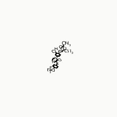 CCC(=O)OC(C)(C)COc1ccc(-n2ccnc(Sc3ccc(OC(F)(F)F)cc3)c2=O)cc1Cl